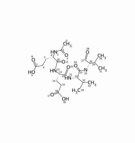 CC(=O)N[C@@H](CCC(=O)O)C(=O)N[C@@H](CCC(=O)O)C(=O)N[C@H](C(=O)[N][C@H](C=O)C(C)C)C(C)C